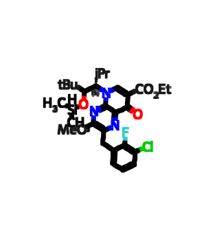 CCOC(=O)c1cn([C@@H](C(C)C)C(O[SiH](C)C)C(C)(C)C)c2nc(OC)c(Cc3cccc(Cl)c3F)nc2c1=O